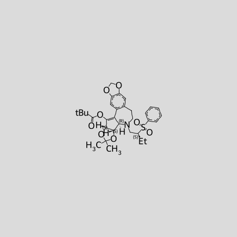 CC[C@@H](CN1CCc2cc3c(cc2C2=C(OC(=O)C(C)(C)C)[C@H]4OC(C)(C)O[C@H]4[C@@H]21)OCO3)S(=O)(=O)c1ccccc1